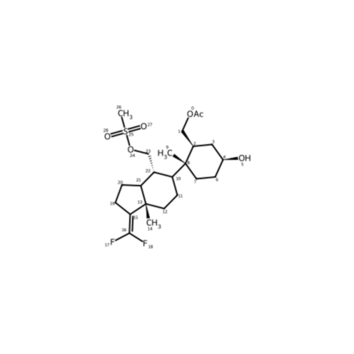 CC(=O)OC[C@H]1C[C@@H](O)CC[C@]1(C)C1CC[C@]2(C)C(=C(F)F)CCC2[C@@H]1COS(C)(=O)=O